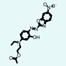 CCN(CCOC(C)=O)c1ccc(N=Nc2nc3ccc([N+](=O)[O-])cc3o2)c(O)c1